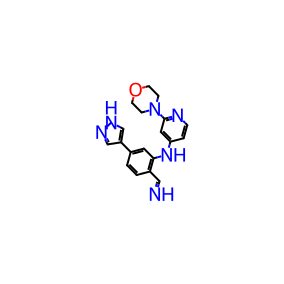 N=Cc1ccc(-c2cn[nH]c2)cc1Nc1ccnc(N2CCOCC2)c1